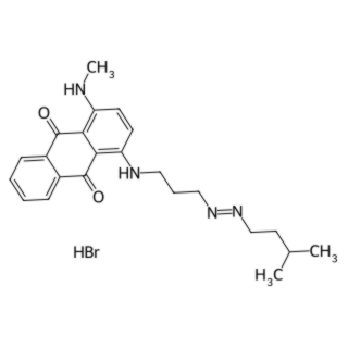 Br.CNc1ccc(NCCCN=NCCC(C)C)c2c1C(=O)c1ccccc1C2=O